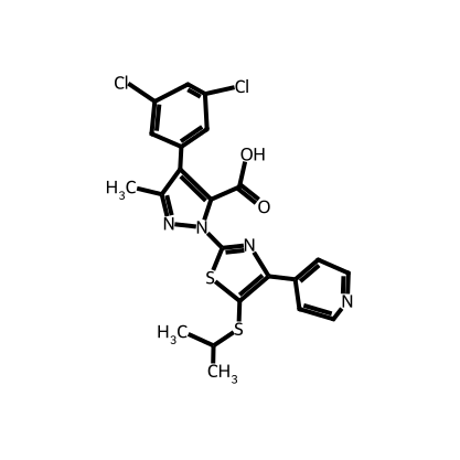 Cc1nn(-c2nc(-c3ccncc3)c(SC(C)C)s2)c(C(=O)O)c1-c1cc(Cl)cc(Cl)c1